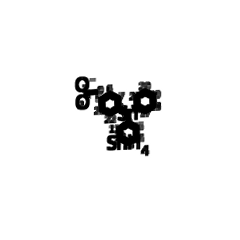 CC(=O)[O-].[SnH4].c1cc[c]([Sn+]([c]2ccccc2)[c]2ccccc2)cc1